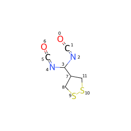 O=C=NC(N=C=O)C1CSSC1